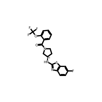 O=C(c1ccccc1OC(F)(F)F)N1CC[C@@H](Nc2nc3ccc(F)cc3s2)C1